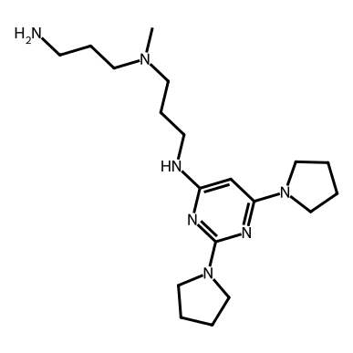 CN(CCCN)CCCNc1cc(N2CCCC2)nc(N2CCCC2)n1